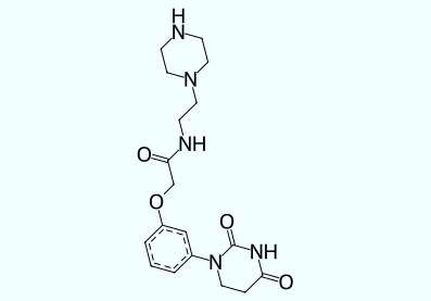 O=C(COc1cccc(N2CCC(=O)NC2=O)c1)NCCN1CCNCC1